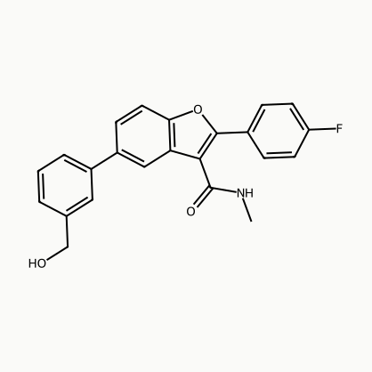 CNC(=O)c1c(-c2ccc(F)cc2)oc2ccc(-c3cccc(CO)c3)cc12